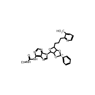 CCNC(=O)Nc1ncnc2c1ncn2C1OC(CCCc2ncccc2C(=O)O)C2O[C@H](c3ccccc3)OC21